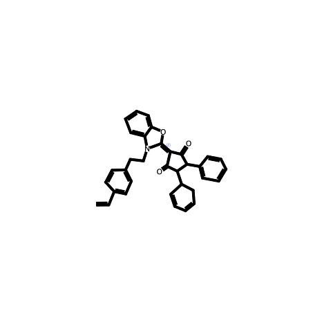 C=Cc1ccc(CCN2/C(=C3/C(=O)C(c4ccccc4)C(C4C=CC=CC4)C3=O)Oc3ccccc32)cc1